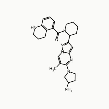 Cc1cn2nc(C3CCCCN3C(=O)c3cccc4c3CCCN4)cc2nc1N1CCC(N)C1